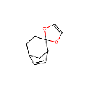 C1=COC2(CCC3C=CC2C3)O1